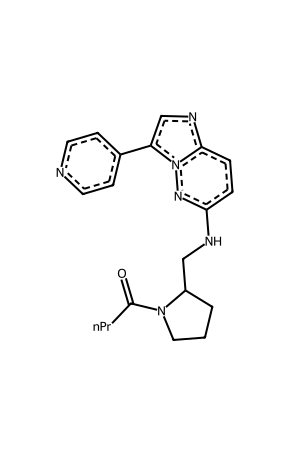 CCCC(=O)N1CCCC1CNc1ccc2ncc(-c3ccncc3)n2n1